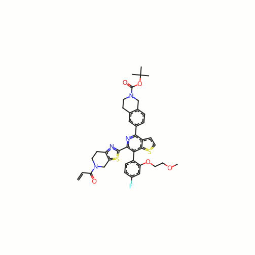 C=CC(=O)N1CCc2nc(-c3nc(-c4ccc5c(c4)CCN(C(=O)OC(C)(C)C)C5)c4ccsc4c3-c3ccc(F)cc3OCCOC)sc2C1